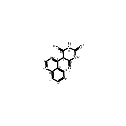 O=C1NC(=O)C(c2ncnc3ccccc23)C(=O)N1